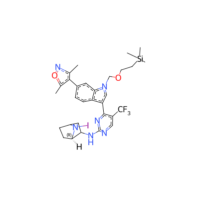 Cc1noc(C)c1-c1ccc2c(-c3nc(NC4CC5CC[C@H]4N5I)ncc3C(F)(F)F)cn(COCC[Si](C)(C)C)c2c1